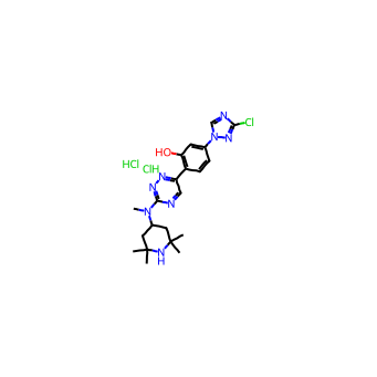 CN(c1ncc(-c2ccc(-n3cnc(Cl)n3)cc2O)nn1)C1CC(C)(C)NC(C)(C)C1.Cl.Cl